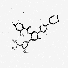 CO[C@@H]1CN(c2cc(F)c(-c3cnc(N4CCOCC4)nc3)cc2NC(=O)c2c[nH]c(=O)cc2C(F)(F)F)C[C@H]1N(C)C